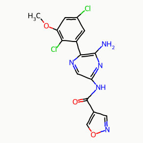 COc1cc(Cl)cc(-c2ncc(NC(=O)c3cnoc3)nc2N)c1Cl